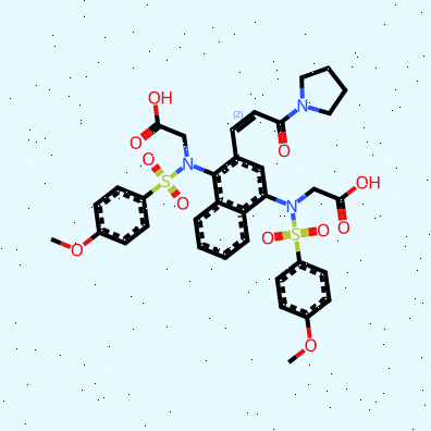 COc1ccc(S(=O)(=O)N(CC(=O)O)c2cc(/C=C\C(=O)N3CCCC3)c(N(CC(=O)O)S(=O)(=O)c3ccc(OC)cc3)c3ccccc23)cc1